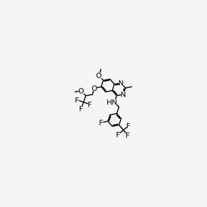 COc1cc2nc(C)nc(NCc3cc(F)cc(C(F)(F)F)c3)c2cc1OCC(OC)C(F)(F)F